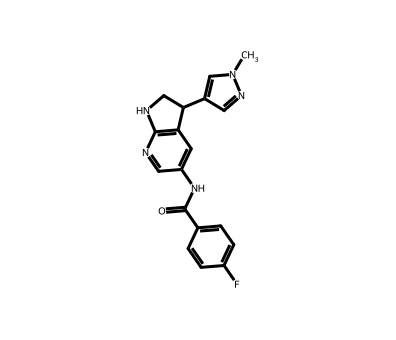 Cn1cc(C2CNc3ncc(NC(=O)c4ccc(F)cc4)cc32)cn1